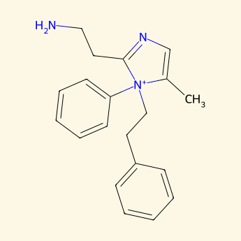 CC1=CN=C(CCN)[N+]1(CCc1ccccc1)c1ccccc1